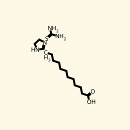 C1=NCCN1.CCCCCCCCCCCC(=O)O.NC(N)=S